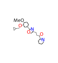 COc1ccc(-c2nc(CCC(=O)c3ccccn3)co2)cc1OCC1CC1